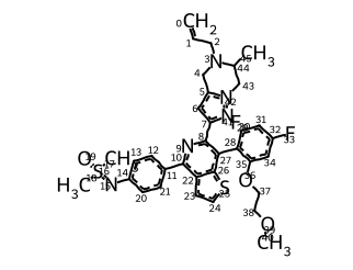 C=CCN1Cc2cc(-c3nc(-c4ccc(N=S(C)(C)=O)cc4)c4ccsc4c3-c3c(F)cc(F)cc3OCCOC)nn2CC1C